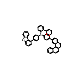 c1ccc(-c2ccccc2N(c2ccc(-c3ccc4ccc5ccc6ccccc6c5c4c3)cc2)c2ccc(-c3cccc4oc5ccccc5c34)cc2)cc1